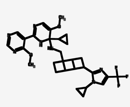 COC1=CN=C(c2cncnc2OC)NC1(NCC12C3C4C1C1C2C3C41c1nc(C(F)(F)F)cn1C1CC1)C1CC1